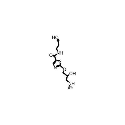 C#CCCNC(=O)c1cnc(OCC(O)CNC(C)C)s1